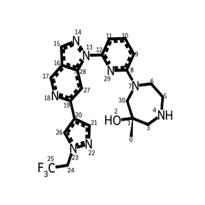 C[C@]1(O)CNCCN(c2cccc(-n3ncc4cnc(-c5cnn(CC(F)(F)F)c5)cc43)n2)C1